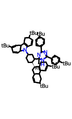 CC(C)(C)C1=CC2C3=C(C=CC(C(C)(C)C)C3)N(C3CCC([C@H]4CC5C=CC(C(C)(C)C)CC5C5=C4CCC(C(C)(C)C)=C5)C(C4(C)N=C(c5ccc(C(C)(C)C)cc5)N=C(c5ccc(C(C)(C)C)cc5)N4)C3)C2C=C1